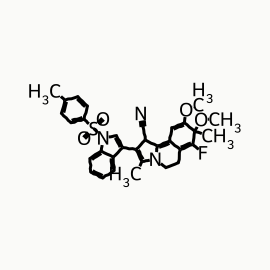 COC1=CC2=C3C(C#N)C(c4cn(S(=O)(=O)c5ccc(C)cc5)c5ccccc45)=C(C)N3CCC2=C(F)C1(C)OC